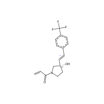 C=CC(=O)N1CC[C@](O)(/C=C/c2ccc(C(F)(F)F)cc2)C1